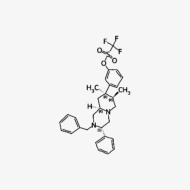 C[C@H]1CN2C[C@H](c3ccccc3)N(Cc3ccccc3)C[C@H]2C[C@@]1(C)c1cccc(OS(=O)(=O)C(F)(F)F)c1